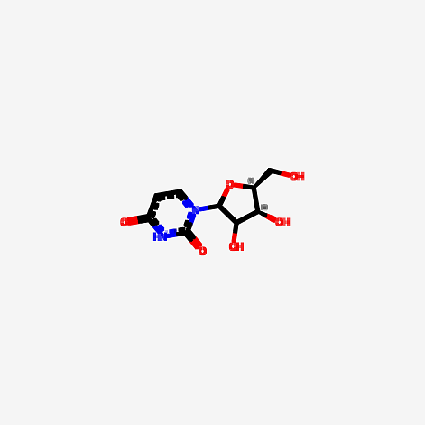 O=c1ccn(C2O[C@@H](CO)[C@@H](O)C2O)c(=O)[nH]1